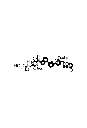 CCC(NCc1nc(C(F)(F)F)c(N[C@H]2CCc3c(-c4cccc(-c5ccc(CNC[C@@H]6CCC(=O)N6)c(OC)n5)c4Cl)cccc32)nc1OC)C(=O)O